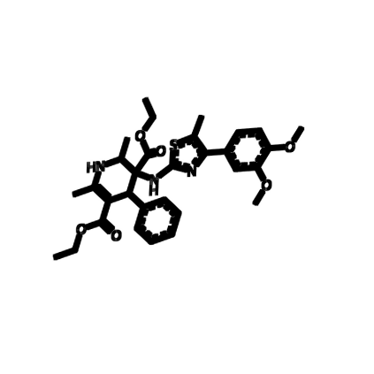 CCOC(=O)C1=C(C)NC(C)C(Nc2nc(-c3ccc(OC)c(OC)c3)c(C)s2)(C(=O)OCC)C1c1ccccc1